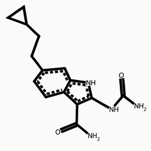 NC(=O)Nc1[nH]c2cc(CCC3CC3)ccc2c1C(N)=O